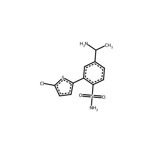 CC(N)c1ccc(S(N)(=O)=O)c(-c2ccc(Cl)s2)c1